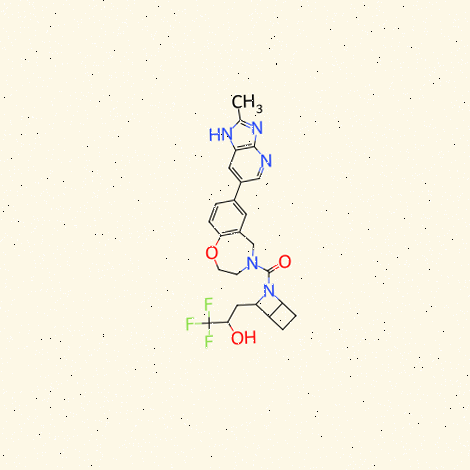 Cc1nc2ncc(-c3ccc4c(c3)CN(C(=O)N3C5CCC5C3CC(O)C(F)(F)F)CCO4)cc2[nH]1